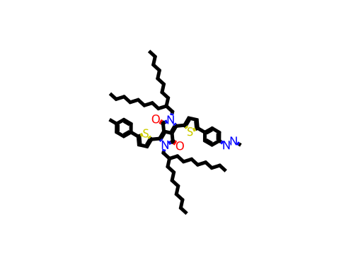 CCCCCCCCC(CCCCCCCC)CN1C(=O)C2=C(c3ccc(-c4ccc(/N=N/C)cc4)s3)N(CC(CCCCCCCC)CCCCCCCC)C(=O)C2=C1c1ccc(-c2ccc(C)cc2)s1